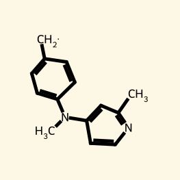 [CH2]c1ccc(N(C)c2ccnc(C)c2)cc1